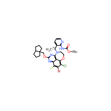 C[C@H](c1cccnc1NC(=O)OC(C)(C)C)N1CCOc2c(Cl)c(Br)c(F)c3nc(OCC45CCCC4CCC5)nc1c23